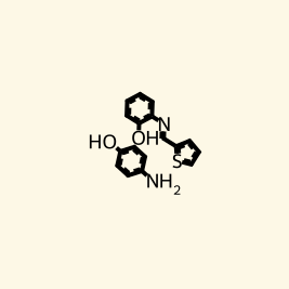 Nc1ccc(O)cc1.Oc1ccccc1N=Cc1cccs1